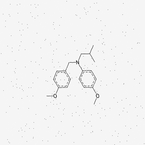 COc1ccc(CN(CC(C)C)c2ccc(OC)cc2)cc1